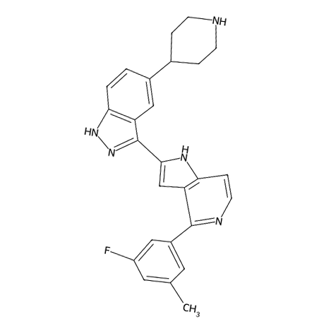 Cc1cc(F)cc(-c2nccc3[nH]c(-c4n[nH]c5ccc(C6CCNCC6)cc45)cc23)c1